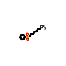 O=S(=O)(CCCCCCCC(F)(F)F)c1ccccc1